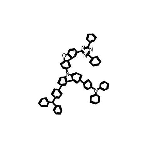 c1ccc(-c2nc(-c3ccccc3)nc(-c3ccc4oc5ccc(-n6c7ccc(-c8ccc(C(c9ccccc9)c9ccccc9)cc8)cc7c7cc(-c8ccc(N(c9ccccc9)c9ccccc9)cc8)ccc76)cc5c4c3)n2)cc1